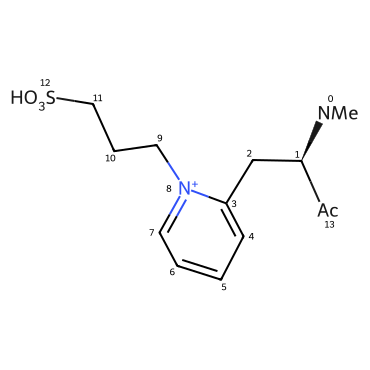 CN[C@H](Cc1cccc[n+]1CCCS(=O)(=O)O)C(C)=O